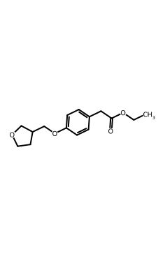 CCOC(=O)Cc1ccc(OCC2CCOC2)cc1